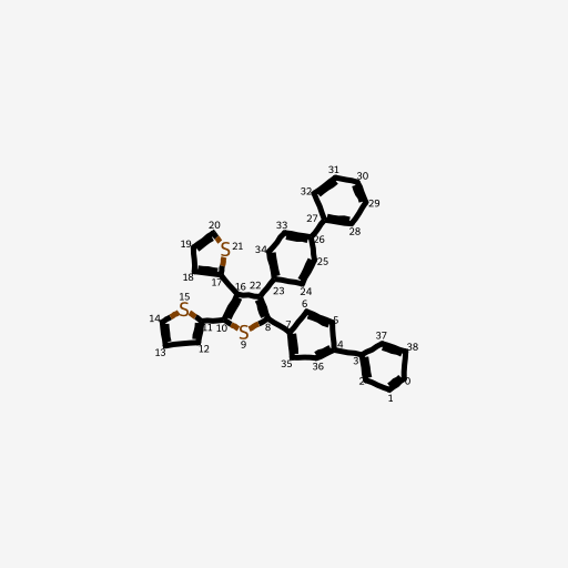 c1ccc(-c2ccc(-c3sc(-c4cccs4)c(-c4cccs4)c3-c3ccc(-c4ccccc4)cc3)cc2)cc1